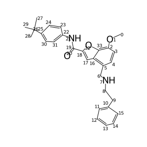 COc1ccc(CNCCc2ccccc2)c2cc(C(=O)Nc3ccc(C(C)(C)C)cc3)oc12